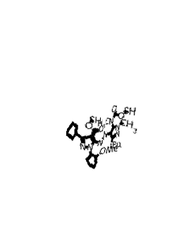 COc1ccccc1-n1nc(-c2ccccc2)c(C(=O)OS)c1N=Nc1c(C(C)(C)C)nn(C)c1N(C)C(=O)OS